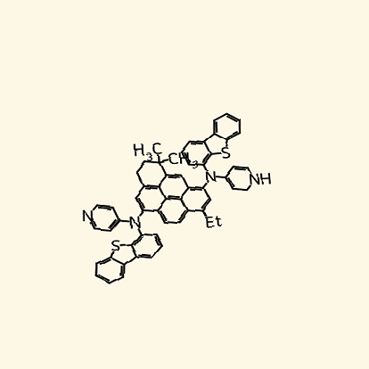 CCc1cc(N(C2=CCNC=C2)c2cccc3c2sc2ccccc23)c2cc3c4c(cc(N(c5ccncc5)c5cccc6c5sc5ccccc56)c5ccc1c2c54)CCC3(C)C